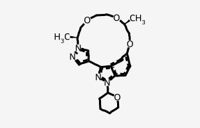 C[C@H]1COc2ccc3c(c2)c(nn3C2CCCCO2)-c2cnn(c2)[C@@H](C)COCCO1